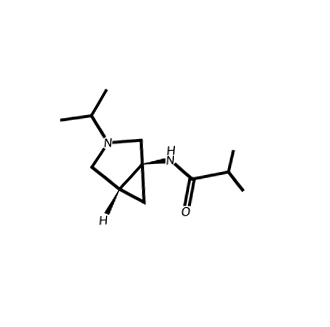 CC(C)C(=O)N[C@@]12C[C@@H]1CN(C(C)C)C2